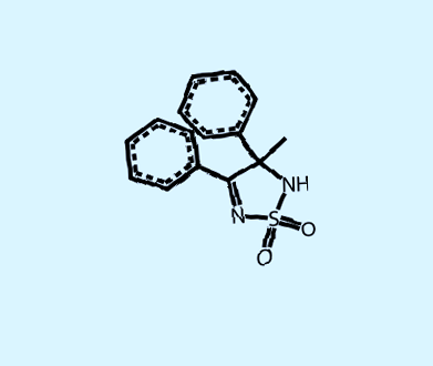 CC1(c2ccccc2)NS(=O)(=O)N=C1c1ccccc1